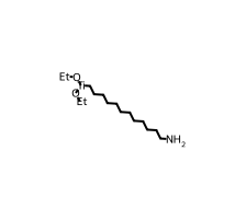 CC[O][Ti]([CH2]CCCCCCCCCCCN)[O]CC